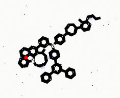 CC/C=C\c1cccc(C2=CC=C(c3ccc(N(c4ccc(-c5cc(-c6ccccc6)cc(-c6ccccc6)c5)cc4)c4cccc(-c5cc6ccccc6c6c5C(C)/C=C\C=C/CN6c5ccccc5)c4)cc3)C=CC2)c1C